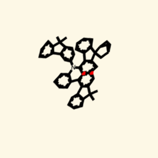 CC1(C)c2ccccc2-c2cc(N(c3ccccc3-c3cccc4c3-c3ccccc3C4(C)C)c3cccc4c3-c3ccccc3C43CC4CCC3C4)ccc21